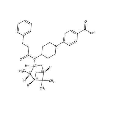 C[C@@H]1[C@@H](N(C(=O)CCc2ccccc2)C2CCN(c3ccc(C(=O)O)cc3)CC2)C[C@H]2C[C@@H]1C2(C)C